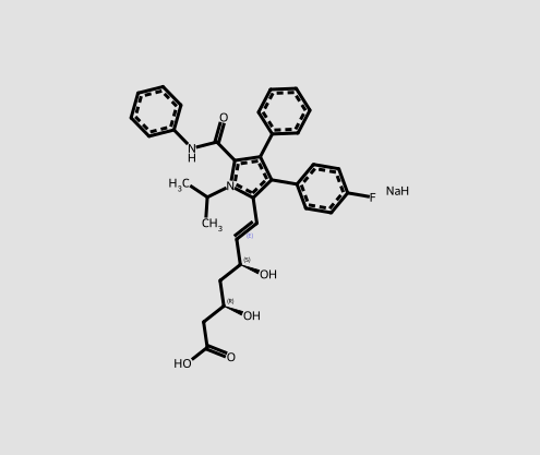 CC(C)n1c(/C=C/[C@@H](O)C[C@@H](O)CC(=O)O)c(-c2ccc(F)cc2)c(-c2ccccc2)c1C(=O)Nc1ccccc1.[NaH]